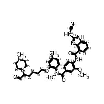 COc1cc(C(=O)N(C)c2ccc(C)cc2OCCCCC(C=O)N2CCN(C)CC2)ccc1NC(=O)c1cccc2[nH]c(NC#N)nc12